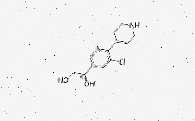 OC[C@H](O)c1cnc(C2=CCNCC2)c(Cl)c1